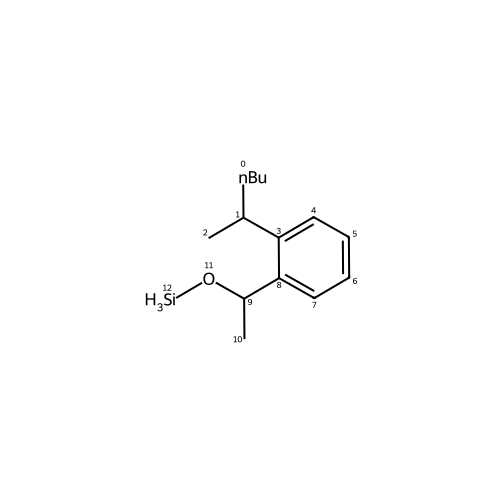 CCCCC(C)c1ccccc1C(C)O[SiH3]